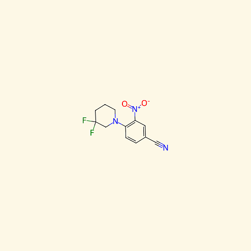 N#Cc1ccc(N2CCCC(F)(F)C2)c([N+](=O)[O-])c1